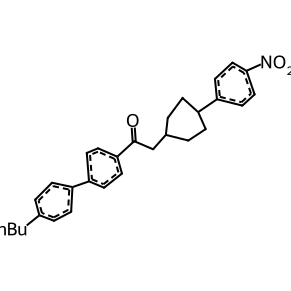 CCCCc1ccc(-c2ccc(C(=O)CC3CCC(c4ccc([N+](=O)[O-])cc4)CC3)cc2)cc1